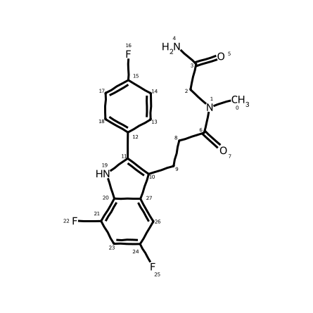 CN(CC(N)=O)C(=O)CCc1c(-c2ccc(F)cc2)[nH]c2c(F)cc(F)cc12